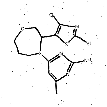 Cc1cc(N2CCCOCC2c2sc(Cl)nc2Cl)nc(N)n1